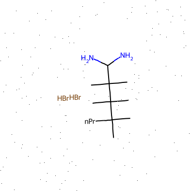 Br.Br.CCCC(C)(C)C(C)(C)C(C)(C)C(N)N